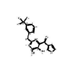 O=C(c1ccsc1)c1nc(Cc2cccc(C(F)(F)F)c2)nc(O)c1O